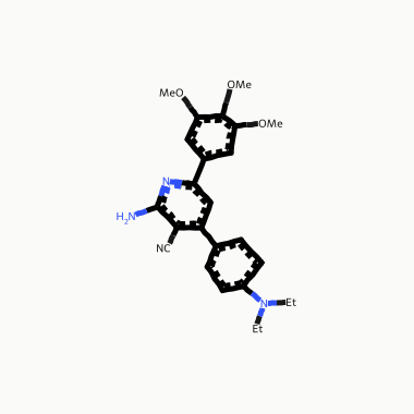 CCN(CC)c1ccc(-c2cc(-c3cc(OC)c(OC)c(OC)c3)nc(N)c2C#N)cc1